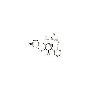 CC(C)N(C)C(=O)c1nc(-c2ccccc2F)c(Cl)c2c1CN1CCNC[C@@H]1CO2